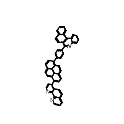 C1=CC2=C(c3ccc(-c4nc5ccccc5c5c4ccc4ccccc45)cc3)C=CC3=CC=C4C(c5ccnc6c5ccc5cccnc56)=CC=C1C4C32